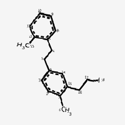 Cc1ccc(CCc2ccccc2C)cc1CCI